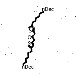 CCCCCCCCCCCCCCCCc1csc(CC(=O)Cc2cc(CCCCCCCCCCCCCCCC)cs2)c1